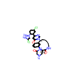 O=C1NCCCCC[C@H](n2cnc(-c3cc(Cl)ccc3N3C=C(Cl)NN3)cc2=O)c2cccc(c2)N2C(=O)CNC[C@H]12